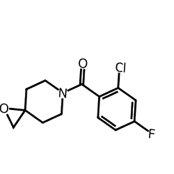 O=C(c1ccc(F)cc1Cl)N1CCC2(CC1)CO2